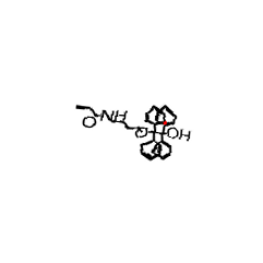 C=CC(=O)NCCCCOC(c1ccccc1)(c1ccccc1)C(O)(c1ccccc1)c1ccccc1